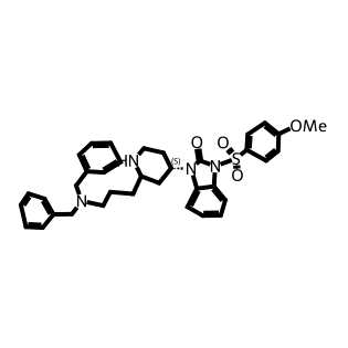 COc1ccc(S(=O)(=O)n2c(=O)n([C@H]3CCNC(CCCN(Cc4ccccc4)Cc4ccccc4)C3)c3ccccc32)cc1